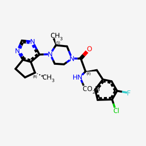 C[C@@H]1CCc2ncnc(N3CCN(C(=O)[C@@H](Cc4ccc(Cl)c(F)c4)NC(=O)O)C[C@@H]3C)c21